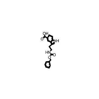 O=C(NCCc1c[nH]c2ccc(C(=O)O)cc12)OCc1ccccc1